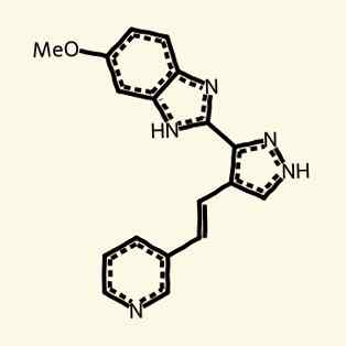 COc1ccc2nc(-c3n[nH]cc3C=Cc3cccnc3)[nH]c2c1